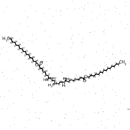 CCCCCCCCCCCCCCCCOC(=O)CCSCCCC(=N)NCCN(C)CCNC(=N)CCCSCCC(=O)OCCCCCCCCCCCCCCCC